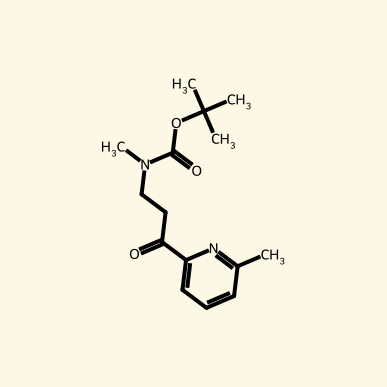 Cc1cccc(C(=O)CCN(C)C(=O)OC(C)(C)C)n1